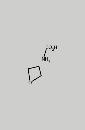 C1COC1.NC(=O)O